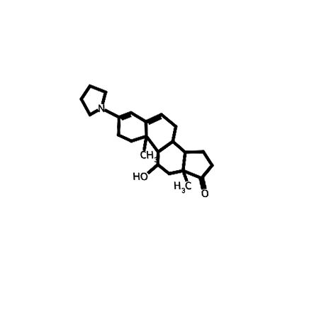 CC12CC(O)C3C(CC=C4C=C(N5CCCC5)CCC43C)C1CCC2=O